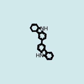 C1=Cc2[nH]c3ccc(-c4ccc5[nH]c6ccccc6c5c4)cc3c2CC1